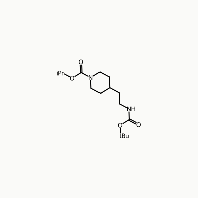 CC(C)OC(=O)N1CCC(CCNC(=O)OC(C)(C)C)CC1